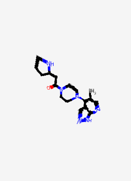 Bc1cnc2[nH]ncc2c1N1CCN(C(=O)CC2CCCN2)CC1